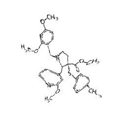 COC(=O)[C@@]1(Sc2ccc(C)cc2)CCN(Cc2ccc(OC)cc2OC)C1c1ccnc(OC)c1